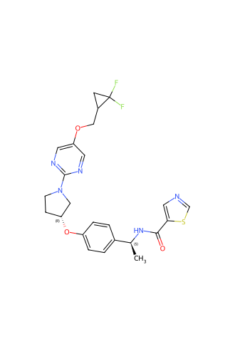 C[C@H](NC(=O)c1cncs1)c1ccc(O[C@@H]2CCN(c3ncc(OCC4CC4(F)F)cn3)C2)cc1